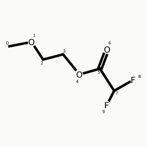 COCCOC(=O)C(F)F